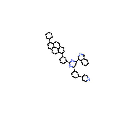 c1ccc(-c2ccc3ccc4c(-c5cccc(-c6nc(-c7cccc(-c8ccncc8)c7)cc(-c7cncc8ccccc78)n6)c5)ccc5ccc2c3c54)cc1